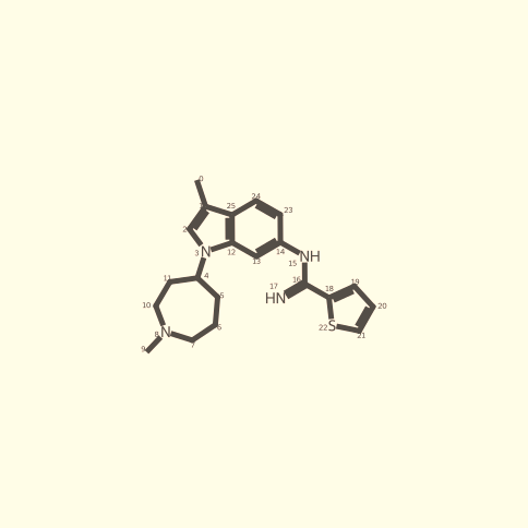 Cc1cn(C2CCCN(C)CC2)c2cc(NC(=N)c3cccs3)ccc12